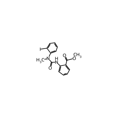 COC(=O)c1ccccc1NC(=O)N(C)c1ccccc1I